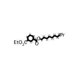 CCOC(=O)C1CCCC(C(=O)OCCCCCCCC(C)C)C1